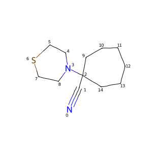 N#CC1(N2CCSCC2)CCCCCC1